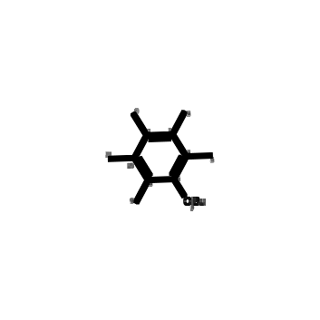 Cc1c(C)c(C)c(OCC(C)C)c(C)c1C